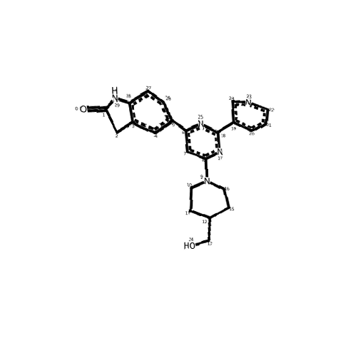 O=C1Cc2cc(-c3cc(N4CCC(CO)CC4)nc(-c4cccnc4)n3)ccc2N1